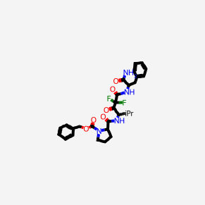 CC(C)C(NC(=O)C1CCCN1C(=O)OCc1ccccc1)C(=O)C(F)(F)C(=O)NC(Cc1ccccc1)C(N)=O